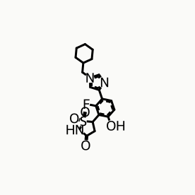 O=C1CC(c2c(O)ccc(-c3cn(CC4CCCCC4)cn3)c2F)S(=O)(=O)N1